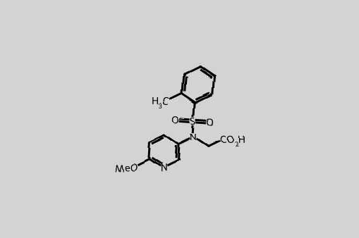 COc1ccc(N(CC(=O)O)S(=O)(=O)c2ccccc2C)cn1